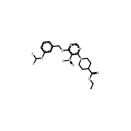 CCOC(=O)C1CCN(c2ncnc(OCc3cccc(OC(F)F)c3)c2[N+](=O)[O-])CC1